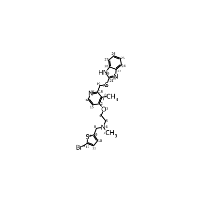 Cc1c(OCCN(C)Cc2ccc(Br)s2)ccnc1CSc1nc2ccccc2[nH]1